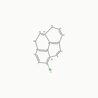 Brc1ccc2c3c4c(ccc13)C=CCC4=CC2